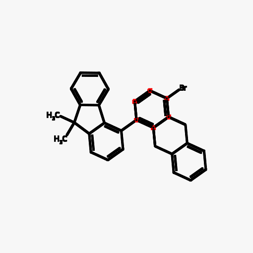 CC1(C)c2ccccc2-c2c(-c3ccc(Br)c4c3C3c5ccccc5C4c4ccccc43)cccc21